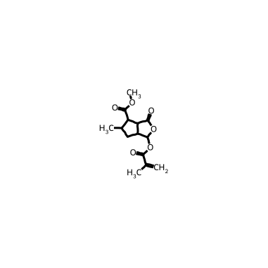 C=C(C)C(=O)OC1OC(=O)C2C1CC(C)C2C(=O)OC